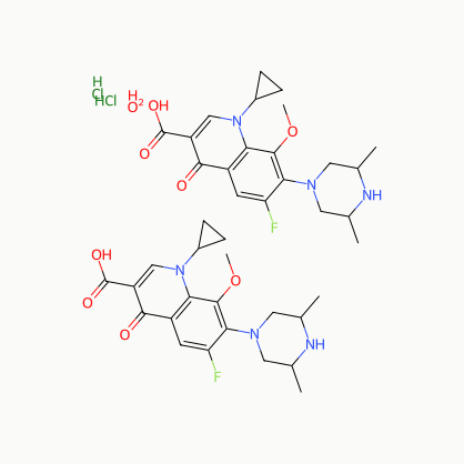 COc1c(N2CC(C)NC(C)C2)c(F)cc2c(=O)c(C(=O)O)cn(C3CC3)c12.COc1c(N2CC(C)NC(C)C2)c(F)cc2c(=O)c(C(=O)O)cn(C3CC3)c12.Cl.Cl.O